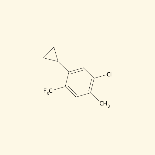 Cc1cc(C(F)(F)F)c(C2CC2)cc1Cl